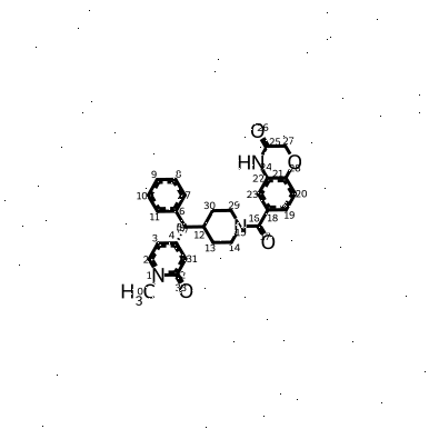 Cn1ccc([C@H](c2ccccc2)C2CCN(C(=O)c3ccc4c(c3)NC(=O)CO4)CC2)cc1=O